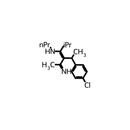 CCCN/C(=C(\C(C)=N)C(C)c1ccc(Cl)cc1)C(C)C